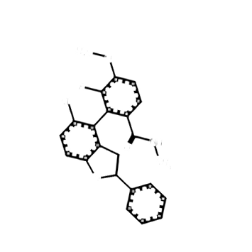 CNC(=O)c1ccc(OC)c(F)c1-c1c(Cl)ccc2c1CC(c1ccccc1)O2